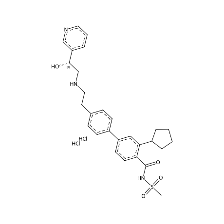 CS(=O)(=O)NC(=O)c1ccc(-c2ccc(CCNC[C@H](O)c3cccnc3)cc2)cc1C1CCCC1.Cl.Cl